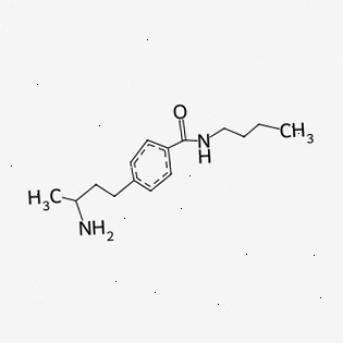 CCCCNC(=O)c1ccc(CCC(C)N)cc1